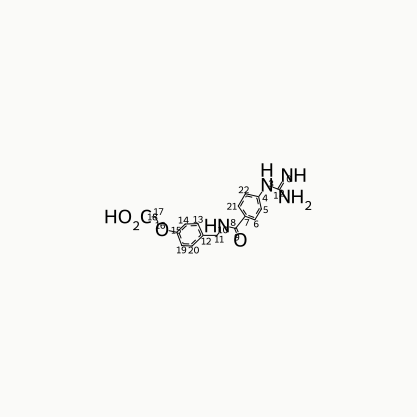 N=C(N)Nc1ccc(C(=O)NCc2ccc(OCC(=O)O)cc2)cc1